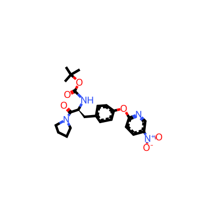 CC(C)(C)OC(=O)N[C@@H](Cc1ccc(Oc2ccc([N+](=O)[O-])cn2)cc1)C(=O)N1CCCC1